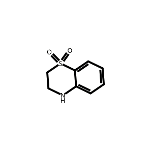 O=S1(=O)CCNc2ccccc21